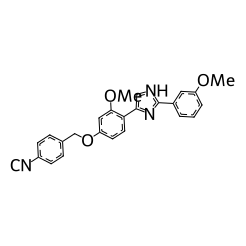 [C-]#[N+]c1ccc(COc2ccc(-c3c[nH]c(-c4cccc(OC)c4)n3)c(OC)c2)cc1